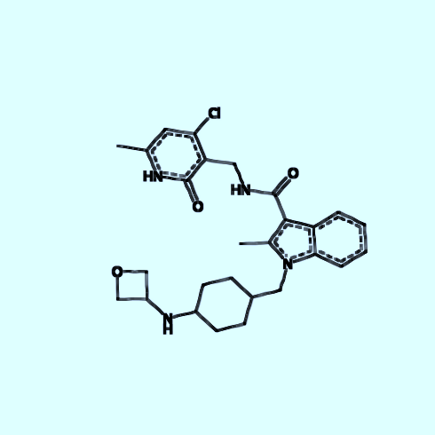 Cc1cc(Cl)c(CNC(=O)c2c(C)n(CC3CCC(NC4COC4)CC3)c3ccccc23)c(=O)[nH]1